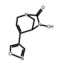 O=C1N2CC=C(c3cnoc3)C(C2)N1O